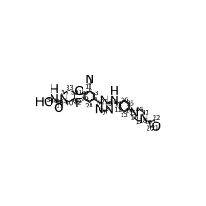 N#Cc1cc(-c2ncnc(Nc3ccc(N4CCN(C5COC5)CC4)cc3)n2)ccc1OC1CCN(C(=O)NO)CC1F